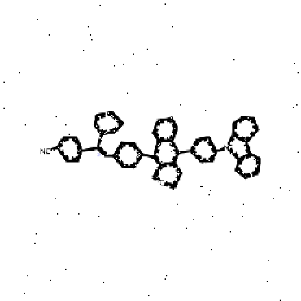 N#Cc1ccc(/C(=C/c2ccc(-c3c4ccccc4c(-c4ccc(-n5c6ccccc6c6ccccc65)cc4)c4ccccc34)cc2)c2ccccc2)cc1